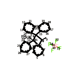 C[C@@H](c1ccccc1)C(c1ccccc1)(c1ccccc1)[C@](C)(c1ccccc1)C(C)(C)C.F[B-](F)(F)F